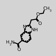 CCOC(=O)Cc1nc2cc(C(N)=O)ccc2[nH]1